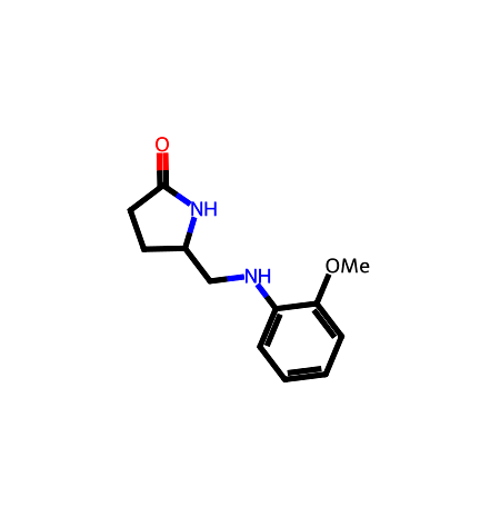 COc1ccccc1NCC1CCC(=O)N1